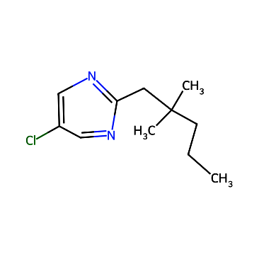 CCCC(C)(C)Cc1ncc(Cl)cn1